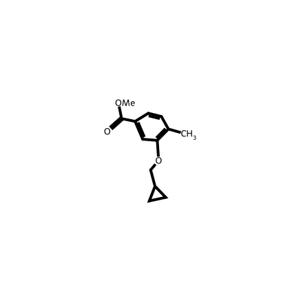 COC(=O)c1ccc(C)c(OCC2CC2)c1